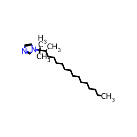 CCCCCCCCCCCCCC[C@H](C)C(C)(C)n1ccnc1